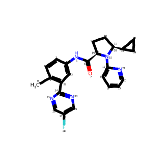 Cc1ccc(NC(=O)[C@H]2CC[C@@H](C3CC3)N2c2ccccn2)cc1-c1ncc(F)cn1